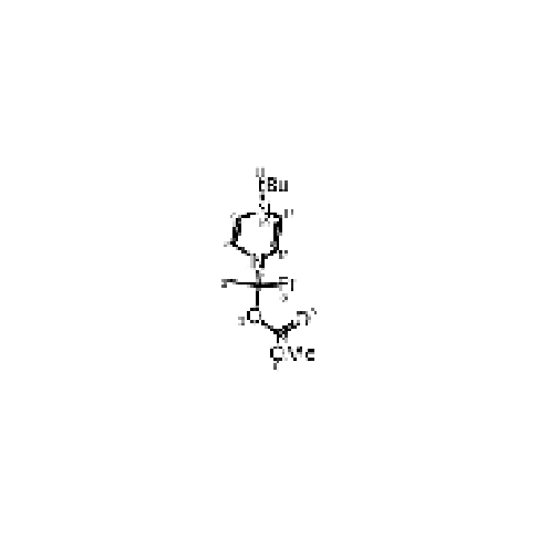 CCC(C)(OC(=O)OC)N1C=CN(C(C)(C)C)C=C1